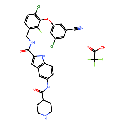 N#Cc1cc(Cl)cc(Oc2c(Cl)ccc(CNC(=O)c3cc4cc(NC(=O)C5CCNCC5)ccc4[nH]3)c2F)c1.O=C(O)C(F)(F)F